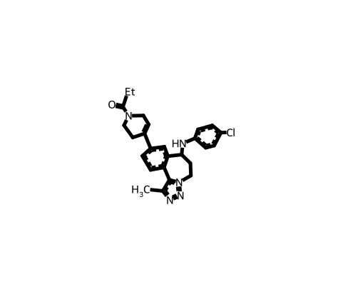 CCC(=O)N1CC=C(c2ccc3c(c2)C(Nc2ccc(Cl)cc2)CCn2nnc(C)c2-3)CC1